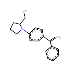 C=C(c1ccccc1)c1ccc(N2CCCC2CC#N)cc1